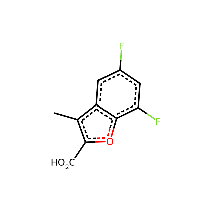 Cc1c(C(=O)O)oc2c(F)cc(F)cc12